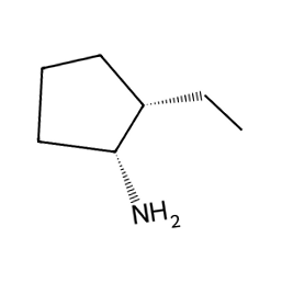 CC[C@H]1CCC[C@H]1N